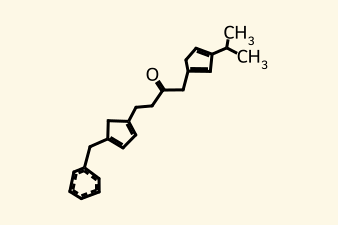 CC(C)C1=CCC(CC(=O)CCC2=CC=C(Cc3ccccc3)C2)=C1